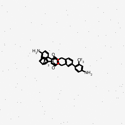 Nc1ccc(-c2ccc3c(c2)C2c4ccc(-c5ccc(N)cc5C(F)(F)F)cc4C3C3C(=O)N(c4ccccc4)C(=O)C23)c(C(F)(F)F)c1